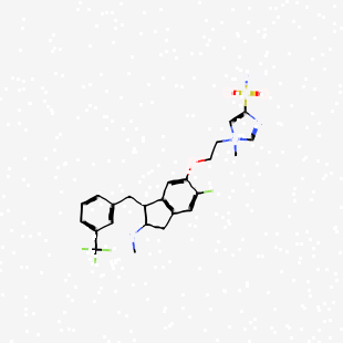 CNC1Cc2cc(F)c(OCC[N+]3(C)C=NC(S(N)(=O)=O)=C3)cc2C1Cc1cccc(C(F)(F)F)c1